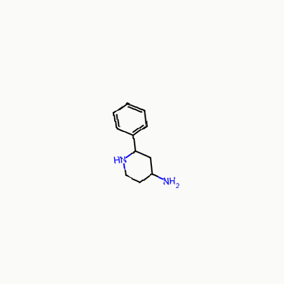 NC1CCNC(c2ccccc2)C1